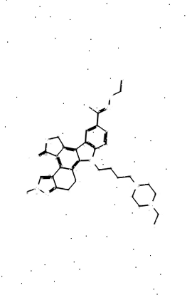 CCO/N=C(\C)c1ccc2c(c1)c1c3c(c4c(c1n2CCCCN1CCN(CC)CC1)CCc1nn(C)cc1-4)C(=O)NC3